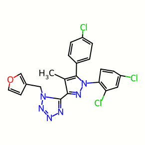 Cc1c(-c2nnnn2Cc2ccoc2)nn(-c2ccc(Cl)cc2Cl)c1-c1ccc(Cl)cc1